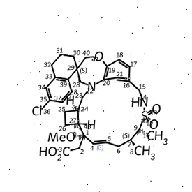 CO[C@@]1(CC(=O)O)/C=C/C[C@H](C)[C@@H](C)S(=O)(=O)NCc2ccc3c(c2)N(C[C@@H]2CC[C@H]21)C[C@@]1(CCCc2cc(Cl)ccc21)CO3